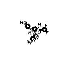 CC(C)c1ccc2c(Nc3cc(NC(=O)c4cc(F)cc(F)c4)ccc3Sc3ccc(O)cc3)ncnc2n1